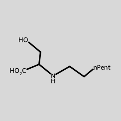 CCCCCCCNC(CO)C(=O)O